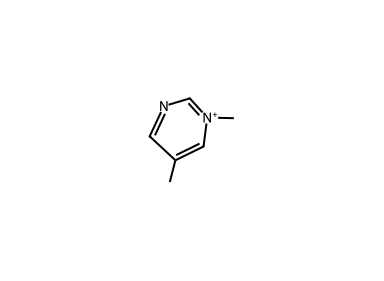 Cc1cnc[n+](C)c1